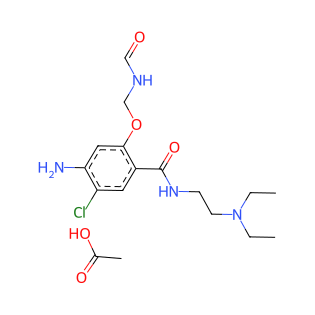 CC(=O)O.CCN(CC)CCNC(=O)c1cc(Cl)c(N)cc1OCNC=O